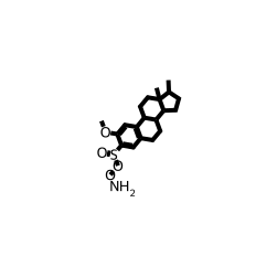 COc1cc2c(cc1S(=O)OON)CCC1C2CCC2(C)C(C)CCC12